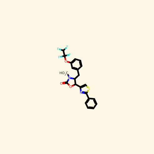 O=C(O)N1C(=O)OC(c2csc(-c3ccccc3)n2)C1Cc1cccc(OC(F)(F)C(F)F)c1